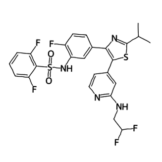 CC(C)c1nc(-c2ccc(F)c(NS(=O)(=O)c3c(F)cccc3F)c2)c(-c2ccnc(NCC(F)F)c2)s1